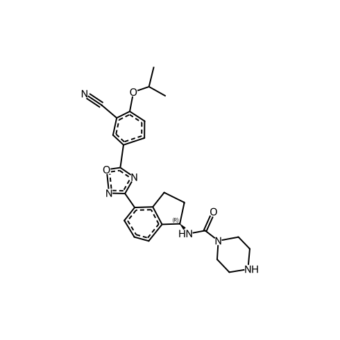 CC(C)Oc1ccc(-c2nc(-c3cccc4c3CC[C@H]4NC(=O)N3CCNCC3)no2)cc1C#N